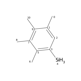 Cc1cc([SiH3])c(C)c(C)c1C